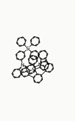 c1ccc([Si](c2ccccc2)(c2ccccc2)c2cccc(-n3c4ccccc4c4ccc(-n5c6ccccc6c6cccc(-c7cccc8c7[Si](c7ccccc7)(c7ccccc7)c7ccccc7-8)c65)cc43)c2)cc1